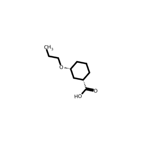 CCCO[C@@H]1CCC[C@H](C(=O)O)C1